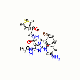 CNc1nc(N2CCC[C@@H](N)C2)n(Cc2ccccc2Br)c1C(=O)NCC(=O)c1ccsc1